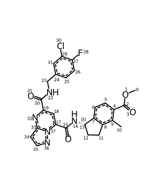 COC(=O)c1ccc2c(c1C)CC[C@@H]2NC(=O)c1cc(C(=O)NCc2ccc(F)c(Cl)c2)nc2ccnn12